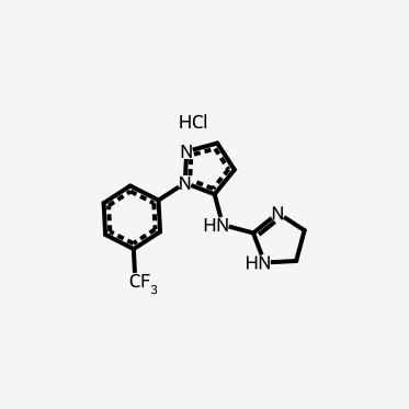 Cl.FC(F)(F)c1cccc(-n2nccc2NC2=NCCN2)c1